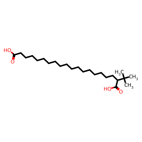 CC(C)(C)C(CCCCCCCCCCCCCCCCCC(=O)O)C(=O)O